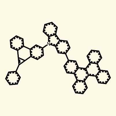 c1ccc(C2=C3c4ccccc4-c4cc(-n5c6ccccc6c6ccc(-c7ccc8c9ccccc9c9c%10ccccc%10c%10ccccc%10c9c8c7)cc65)ccc4C23)cc1